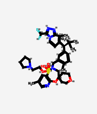 Cc1cnc2c(c1)S(=O)(O)(OCCN1CCCC1)N(Cc1cc([C@@H](c3ccn4c(C(F)F)nnc4c3C)C(C)(C)C(=O)O)ccc1C)CC1(CCOCC1)O2